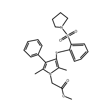 COC(=O)Cn1c(C)c(Sc2ccccc2S(=O)(=O)N2CCCC2)c(-c2ccccc2)c1C